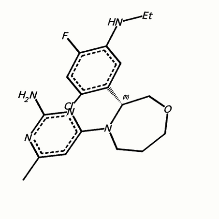 CCNc1cc([C@@H]2COCCCN2c2cc(C)nc(N)n2)c(Cl)cc1F